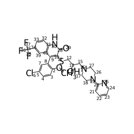 COc1ccc(Cl)cc1-c1c(SCC(O)CN2CCN(c3ccccn3)CC2)c(=O)[nH]c2ccc(C(F)(F)F)cc12